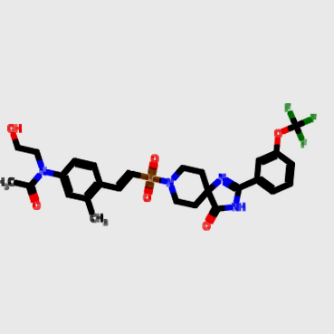 CC(=O)N(CCO)c1ccc(C=CS(=O)(=O)N2CCC3(CC2)N=C(c2cccc(OC(F)(F)F)c2)NC3=O)c(C)c1